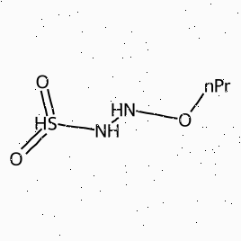 CCCONN[SH](=O)=O